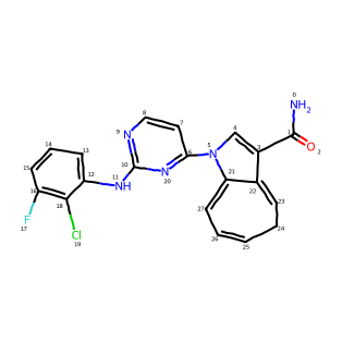 NC(=O)c1cn(-c2ccnc(Nc3cccc(F)c3Cl)n2)c2c1=CCC=CC=2